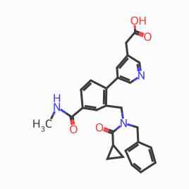 CNC(=O)c1ccc(-c2cncc(CC(=O)O)c2)c(CN(Cc2ccccc2)C(=O)C2CC2)c1